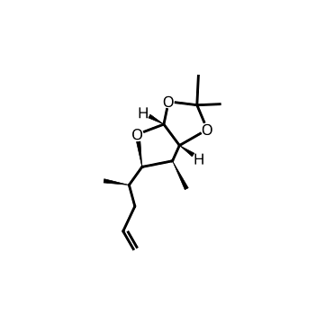 C=CC[C@@H](C)[C@H]1O[C@@H]2OC(C)(C)O[C@@H]2[C@H]1C